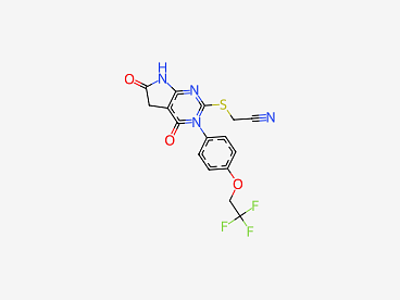 N#CCSc1nc2c(c(=O)n1-c1ccc(OCC(F)(F)F)cc1)CC(=O)N2